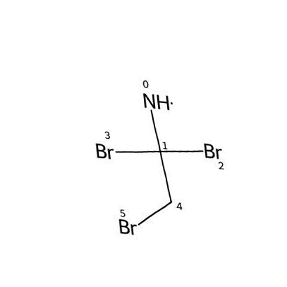 [NH]C(Br)(Br)CBr